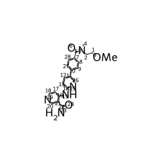 COCCN(C)C(=O)c1ccc(-c2ccc(Nc3ccncc3C(N)=O)nc2)cc1